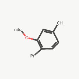 CCCCOc1cc(C)ccc1C(C)C